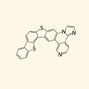 c1ccc2c(c1)sc1c2ccc2sc3cc4c(cc3c21)c1cnccc1c1nccn41